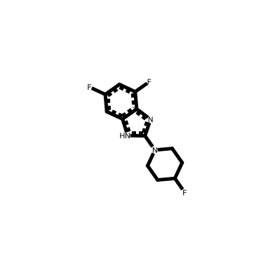 Fc1cc(F)c2nc(N3CCC(F)CC3)[nH]c2c1